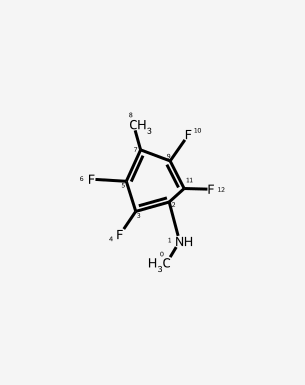 CNc1c(F)c(F)c(C)c(F)c1F